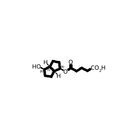 O=C(O)CCCC(=O)O[C@@H]1CC[C@H]2[C@@H]1CC[C@H]2O